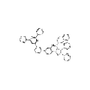 c1ccc(-c2cc(-c3cccc(-c4ccc5c(c4)nc(-c4ccc6ccccc6c4)c4c(-c6ccccn6)c(-c6ccccn6)sc45)c3)nc(-c3ccccc3)n2)cc1